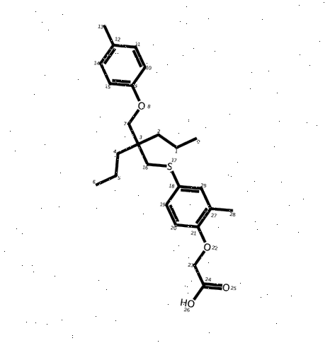 CCCC(CCC)(COc1ccc(C)cc1)CSc1ccc(OCC(=O)O)c(C)c1